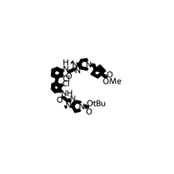 COC(=O)C12CCC(CN3CCc4c(nc(C(=O)Nc5cccc(-c6cccc(NC(=O)c7nc8c(n7C)CCN(C(=O)OC(C)(C)C)C8)c6Cl)c5Cl)n4C)C3)(CC1)C2